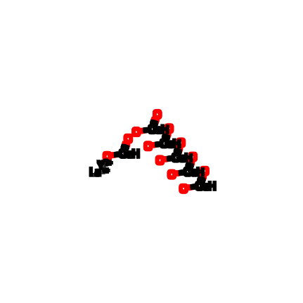 [La+3].[O]=[GeH][O-].[O]=[GeH][O-].[O]=[GeH][O-].[O]=[GeH][O-].[O]=[GeH][O-].[O]=[GeH][O-].[Y+3]